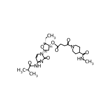 CC[C@H]1O[C@@H](n2ccc(NC(=O)C(C)C)nc2=O)C[C@H]1OC(=O)CCC(=O)N1CCC(C(=O)NC)CC1